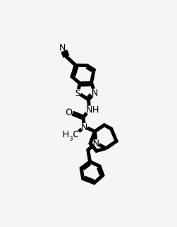 CN(C(=O)Nc1nc2ccc(C#N)cc2s1)C12CCCC(CC1)N2Cc1ccccc1